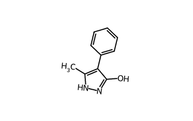 Cc1[nH]nc(O)c1-c1ccccc1